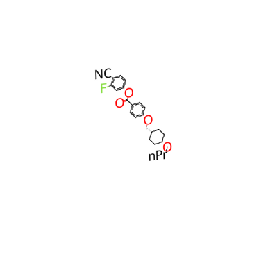 CCCO[C@H]1CC[C@H](COc2ccc(C(=O)Oc3ccc(C#N)c(F)c3)cc2)CC1